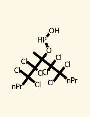 CCCC(Cl)(Cl)C(Cl)(Cl)C(C)(OPO)C(Cl)(Cl)C(Cl)(Cl)CCC